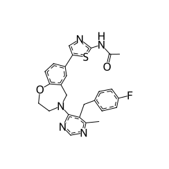 CC(=O)Nc1ncc(-c2ccc3c(c2)CN(c2ncnc(C)c2Cc2ccc(F)cc2)CCO3)s1